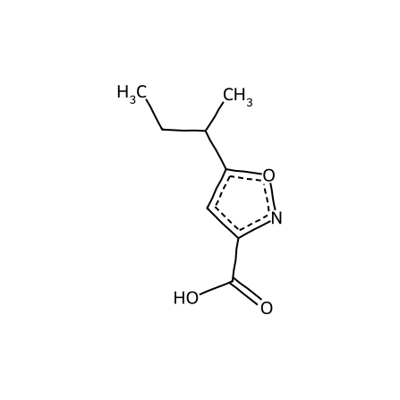 CCC(C)c1cc(C(=O)O)no1